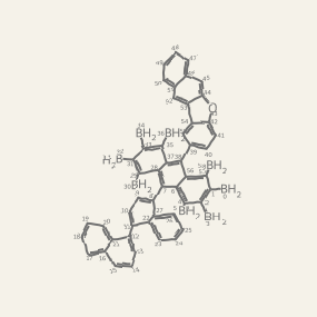 Bc1c(B)c(B)c2c(-c3ccc(-c4cccc5ccccc45)c4ccccc34)c3c(B)c(B)c(B)c(B)c3c(-c3ccc4oc5cc6ccccc6cc5c4c3)c2c1B